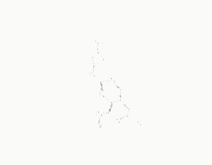 CCCNc1nc(C#N)cc2cnc(NC3CC(N)C3)nc12